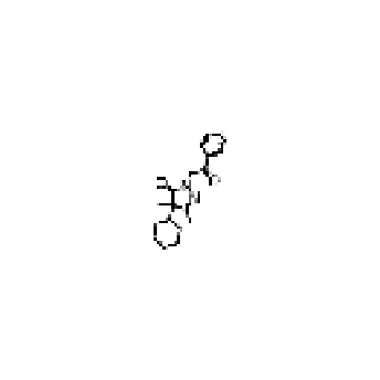 CC1=NN(CC(=O)c2ccsc2)C(=O)C1(C)C1CCCCC1